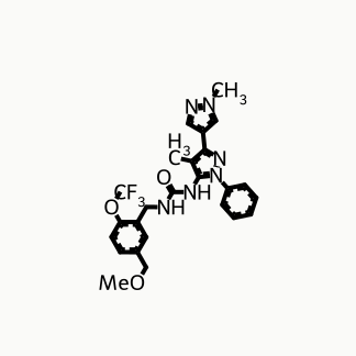 COCc1ccc(OC(F)(F)F)c(CNC(=O)Nc2c(C)c(-c3cnn(C)c3)nn2-c2ccccc2)c1